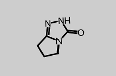 O=c1[nH]nc2n1CCC2